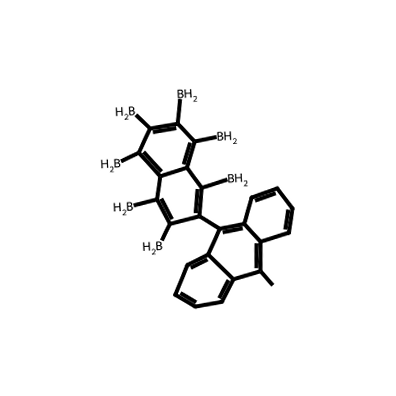 Bc1c(B)c(B)c2c(B)c(-c3c4ccccc4c(C)c4ccccc34)c(B)c(B)c2c1B